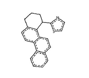 c1ccc2c(c1)ccc1c3c(ccc12)CCCC3c1nccs1